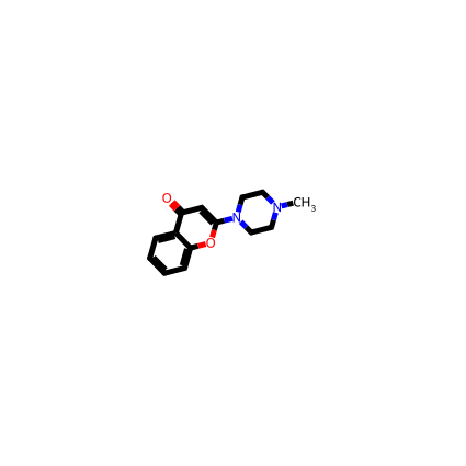 CN1CCN(c2cc(=O)c3ccccc3o2)CC1